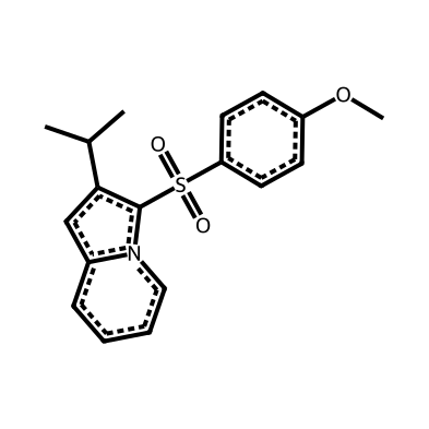 COc1ccc(S(=O)(=O)c2c(C(C)C)cc3ccccn23)cc1